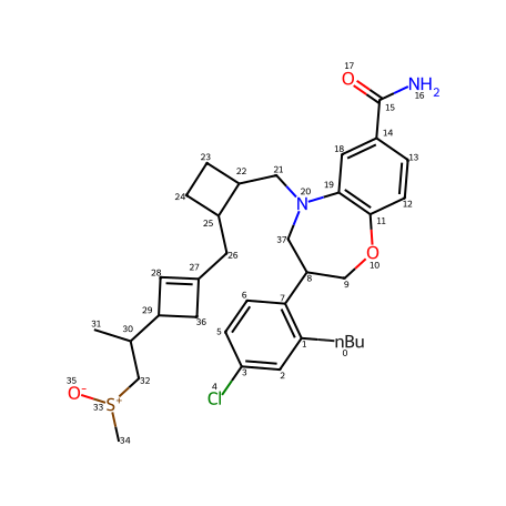 CCCCc1cc(Cl)ccc1C1COc2ccc(C(N)=O)cc2N(CC2CCC2CC2=CC(C(C)C[S+](C)[O-])C2)C1